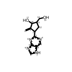 C=C1C(c2ncc3[nH]cnc3n2)CC(CO)C1O